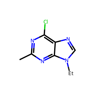 CCn1cnc2c(Cl)nc(C)nc21